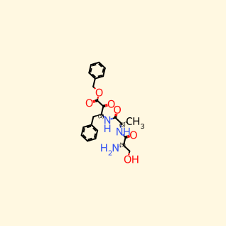 C[C@H](NC(=O)[C@@H](N)CO)C(=O)N[C@@H](Cc1ccccc1)C(=O)C(=O)OCc1ccccc1